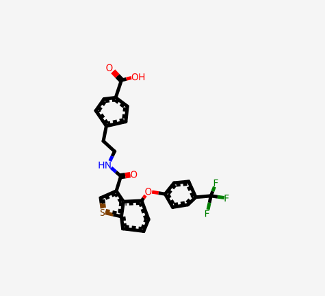 O=C(O)c1ccc(CCNC(=O)c2csc3cccc(Oc4ccc(C(F)(F)F)cc4)c23)cc1